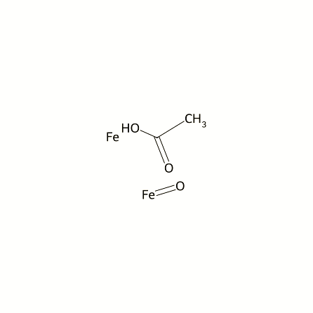 CC(=O)O.[Fe].[O]=[Fe]